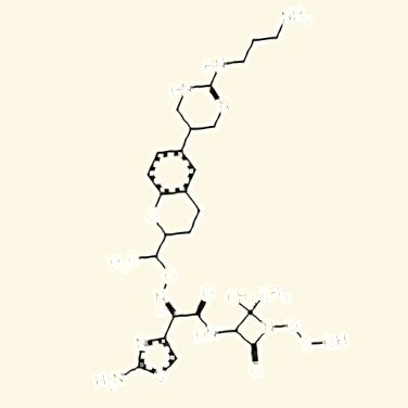 CC(O/N=C(\C(=O)NC1C(=O)N(OSO)C1(C)C)c1csc(N)n1)C1CCc2cc(C3CN=C(NCCCN)NC3)ccc2O1